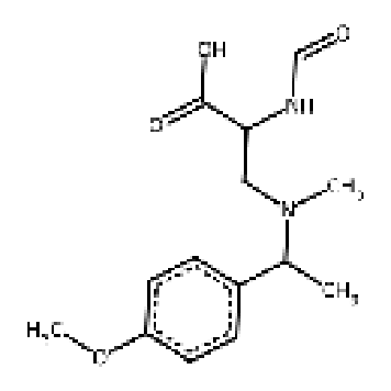 COc1ccc(C(C)N(C)CC(NC=O)C(=O)O)cc1